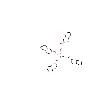 O=C(OCC1SC(OC(=O)c2ccc3ccccc3c2)C(OC(=O)c2ccc3ccccc3c2)C1OC(=O)c1ccc2ccccc2c1)c1ccc2ccccc2c1